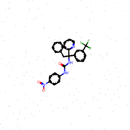 O=C(Nc1ccc([N+](=O)[O-])cc1)NC(Cc1ccccc1)(c1cccc(C(F)(F)F)c1)c1ccccn1